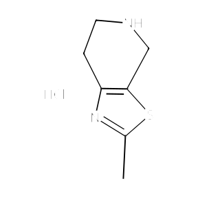 Cc1nc2c(s1)CNCC2.Cl